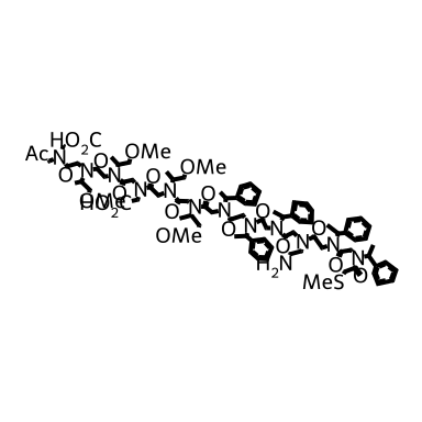 COCC(C)N(CC(=O)N(CC(C)=O)CC(=O)O)C(=O)CN(C(=O)CN(CC(=O)O)C(=O)CN(C(=O)CN(C(=O)CN(C(=O)CN(C(=O)CN(C(=O)CN(CCN)C(=O)CN(C(=O)CN(C(=O)CSC)C(C)c1ccccc1)C(C)c1ccccc1)C(C)c1ccccc1)C(C)c1ccccc1)C(C)c1ccccc1)C(C)COC)C(C)COC)C(C)COC